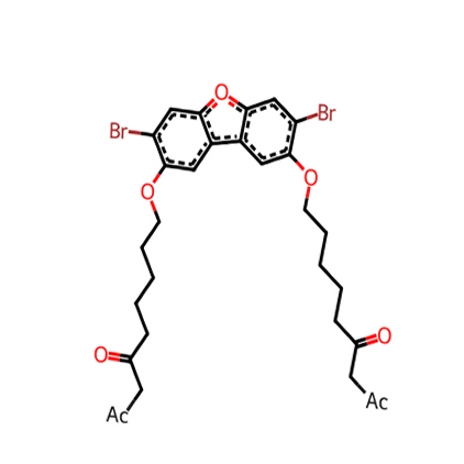 CC(=O)CC(=O)CCCCCOc1cc2c(cc1Br)oc1cc(Br)c(OCCCCCC(=O)CC(C)=O)cc12